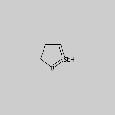 [B]1=[SbH]=[CH]CC1